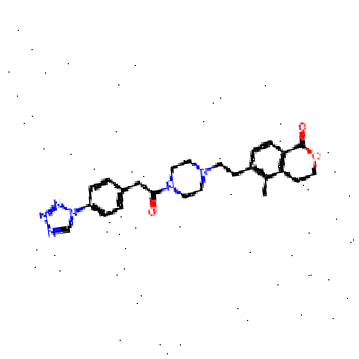 Cc1c(CCN2CCN(C(=O)Cc3ccc(-n4cnnn4)cc3)CC2)ccc2c1CCOC2=O